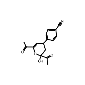 CC(=O)C1=CC(c2ccc(C#N)cc2)CC(O)(C(C)=O)O1